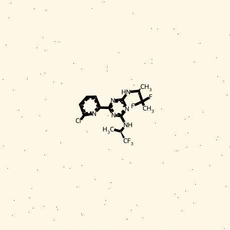 C[C@@H](Nc1nc(N[C@H](C)C(F)(F)F)nc(-c2cccc(Cl)n2)n1)C(C)(F)F